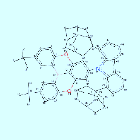 CC(C)(C)c1ccc2c(c1)B1c3cc(C(C)(C)C)ccc3Oc3cc(-n4c5c(C67CC8CC(CC(C8)C6)C7)cccc5c5cccc(C67CC8CC9CC(C6)C9(C8)C7)c54)cc(c31)O2